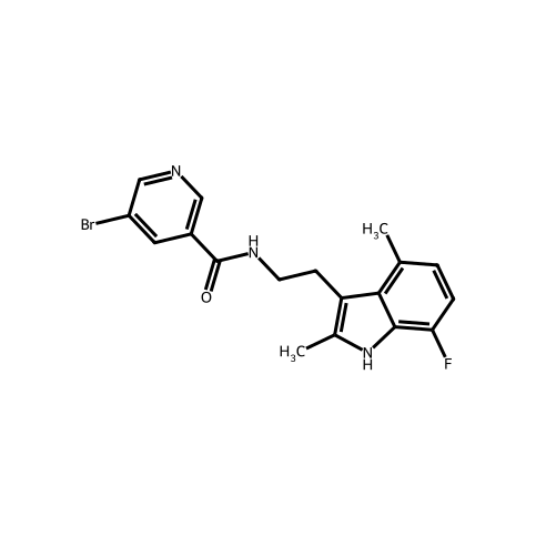 Cc1[nH]c2c(F)ccc(C)c2c1CCNC(=O)c1cncc(Br)c1